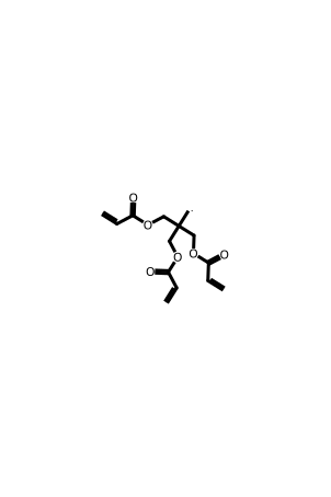 [CH2]C(COC(=O)C=C)(COC(=O)C=C)COC(=O)C=C